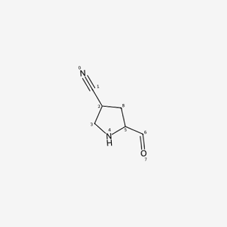 N#CC1CNC(C=O)C1